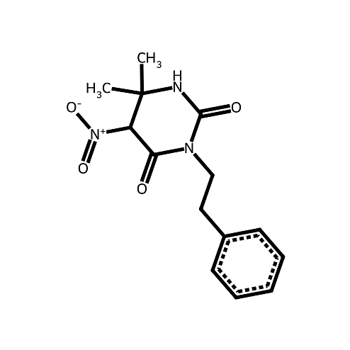 CC1(C)NC(=O)N(CCc2ccccc2)C(=O)C1[N+](=O)[O-]